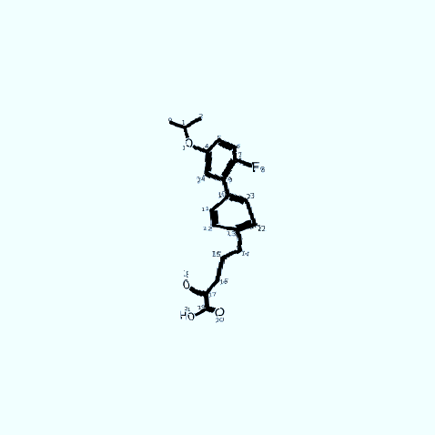 CC(C)Oc1ccc(F)c(-c2ccc(CCCC(=O)C(=O)O)cc2)c1